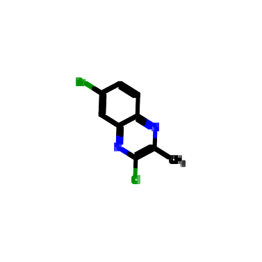 Cc1nc2ccc(Br)cc2nc1Cl